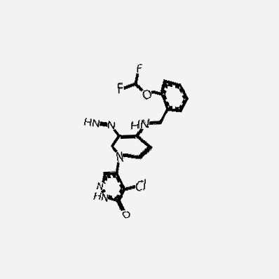 N=NC1=C(NCc2ccccc2OC(F)F)CCN(c2cn[nH]c(=O)c2Cl)C1